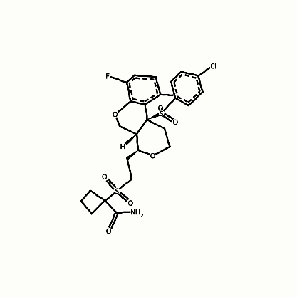 NC(=O)C1(S(=O)(=O)CC[C@@H]2OCC[C@@]3(S(=O)(=O)c4ccc(Cl)cc4)c4c(F)ccc(F)c4OC[C@@H]23)CCC1